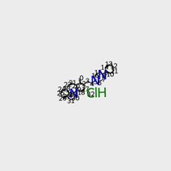 Cc1c(CCN2CCN(c3ccccc3)CC2)ccc2c1C=Cc1cccc3c1N2CC3.Cl